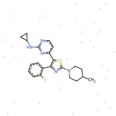 CC1CCN(c2nc(-c3ccccc3F)c(-c3ccnc(NC4CC4)n3)s2)CC1